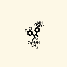 NC(=O)N(O)Cc1scc(-c2ccc(S(N)(=O)=O)cc2)c1-c1ccc(F)c(Cl)c1